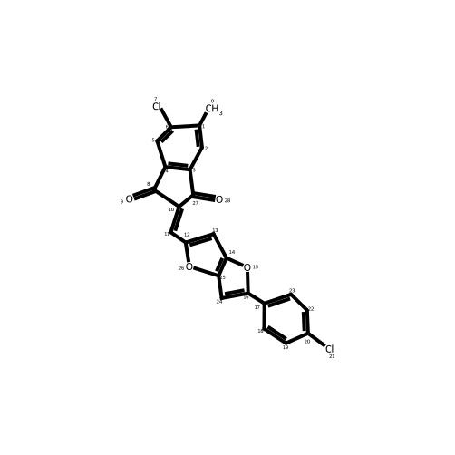 Cc1cc2c(cc1Cl)C(=O)/C(=C/c1cc3oc(-c4ccc(Cl)cc4)cc3o1)C2=O